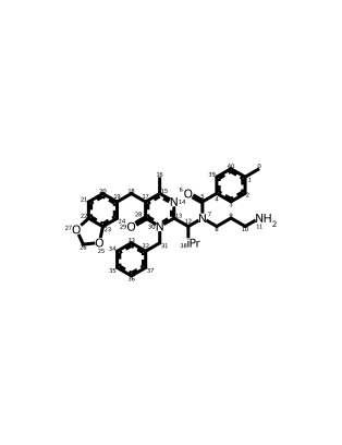 Cc1ccc(C(=O)N(CCCN)C(c2nc(C)c(Cc3ccc4c(c3)OCO4)c(=O)n2Cc2ccccc2)C(C)C)cc1